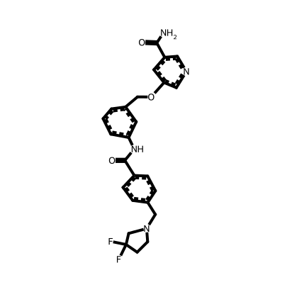 NC(=O)c1cncc(OCc2cccc(NC(=O)c3ccc(CN4CCC(F)(F)C4)cc3)c2)c1